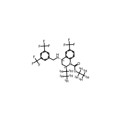 [2H]C([2H])([2H])C([2H])([2H])OC(=O)N1c2ccc(C(F)(F)F)cc2[C@@H](NCc2cc(C(F)(F)F)cc(C(F)(F)F)c2)C[C@@H]1C([2H])([2H])C([2H])([2H])[2H]